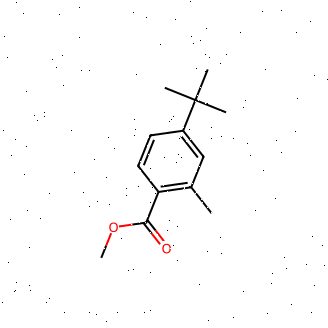 COC(=O)c1ccc(C(C)(C)C)cc1C